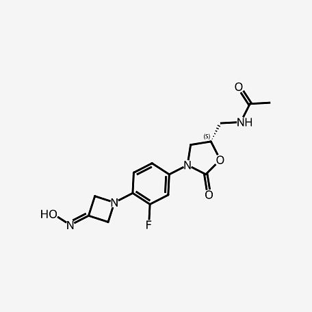 CC(=O)NC[C@H]1CN(c2ccc(N3CC(=NO)C3)c(F)c2)C(=O)O1